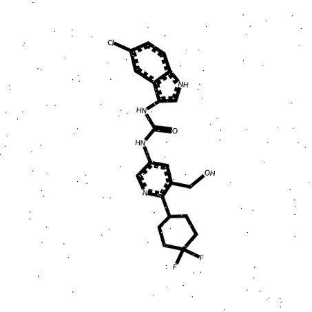 O=C(Nc1cnc(C2CCC(F)(F)CC2)c(CO)c1)Nc1c[nH]c2ccc(Cl)cc12